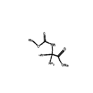 CCCC(N)(NC(=O)OC(C)(C)C)C(=O)OC